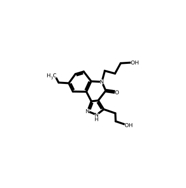 CCc1ccc2c(c1)c1n[nH]c(CCO)c1c(=O)n2CCCO